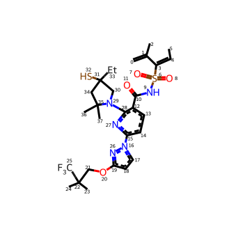 C=C(C)/C(=C\C)S(=O)(=O)NC(=O)c1ccc(-n2ccc(OCC(C)(C)C(F)(F)F)n2)nc1N1CC(S)(CC)CC1(C)C